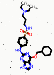 CCN(CC)CCCNS(=O)(=O)c1ccc(Nc2nc(OCC3CCCCC3)c3nc[nH]c3n2)cc1